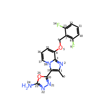 Cc1nc2c(OCc3c(F)cccc3F)cccn2c1-c1nnc(N)o1